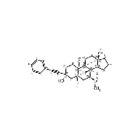 CO[C@H]1C[C@@H]2C[C@@](O)(C#Cc3ccccc3)CC[C@]2(C)[C@H]2CC[C@]3(C)CCC[C@H]3[C@H]12